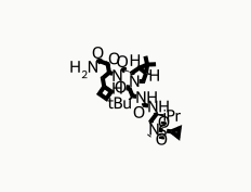 CC(C)[C@@H](CN(C)S(=O)(=O)C1CC1)NC(=O)N[C@H](C(=O)N1C[C@H]2[C@@H]([C@H]1C(=O)NC(CC1CCC1)C(=O)C(N)=O)C2(C)C)C(C)(C)C